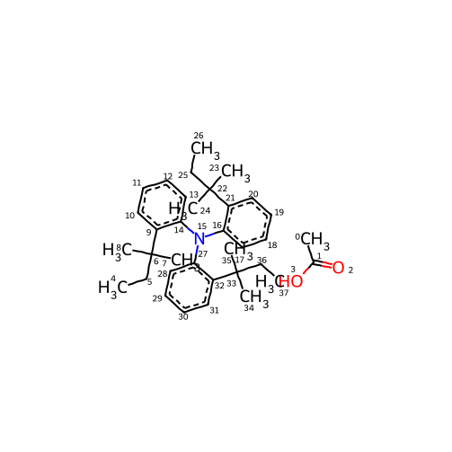 CC(=O)O.CCC(C)(C)c1ccccc1N(c1ccccc1C(C)(C)CC)c1ccccc1C(C)(C)CC